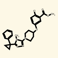 COC(=O)c1cc(OC2CCN(c3nnc(C4(c5ccccc5)CC4)n3C)CC2)ccc1Cl